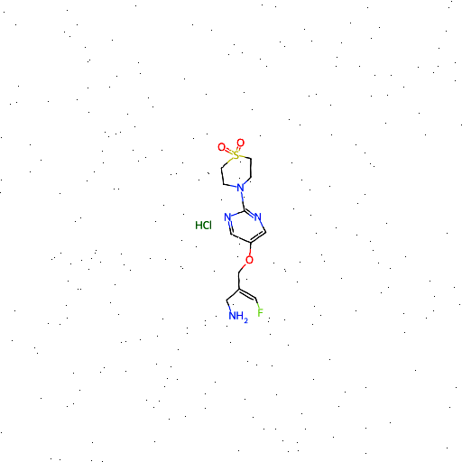 Cl.NCC(=CF)COc1cnc(N2CCS(=O)(=O)CC2)nc1